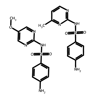 COc1cnc(NS(=O)(=O)c2ccc(N)cc2)nc1.Cc1ccnc(NS(=O)(=O)c2ccc(N)cc2)n1